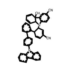 CC12C=CC=CC1N(C1C=C(C#N)C=CC1c1ccccc1-c1ccc(-n3c4ccccc4c4ccccc43)cc1)c1ccc(C#N)cc12